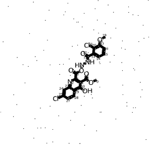 COC(=O)c1c(C(=O)ONNC(=O)c2cccc(OC)c2Cl)nc2cc(Cl)ccc2c1O